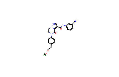 C[C@H]1Cn2ncc(C(=O)Nc3cccc(C#N)c3)c2C(=O)N1c1ccc(CCOC(F)(F)F)cc1